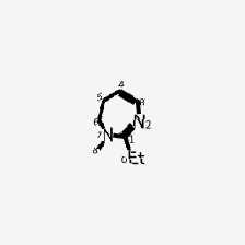 CCC1=NC=CCCN1C